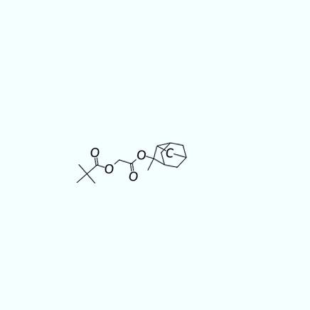 CC(C)(C)C(=O)OCC(=O)OC1(C)C2CC3CC(C2)C1C3